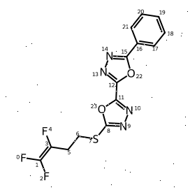 FC(F)=C(F)CCSc1nnc(-c2nnc(-c3ccccc3)o2)o1